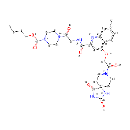 CCCCOC(=O)N1CCN(C(=O)CNC(=O)c2cc(OCC(=O)N3CCC4(CC3)NC(=O)NC4=O)c3ccc(C)cc3n2)CC1